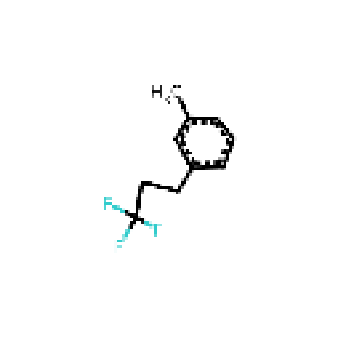 Cc1cccc(CCC(F)(F)F)c1